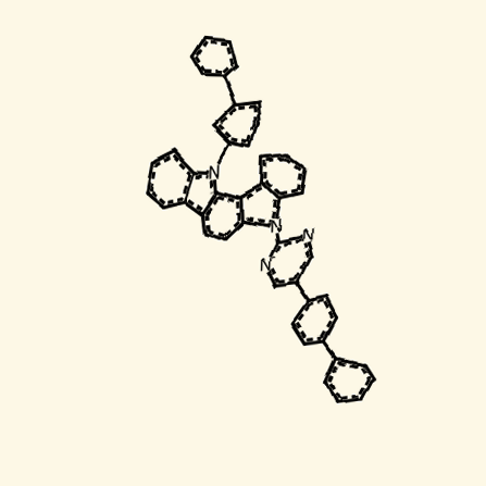 c1ccc(-c2ccc(-c3cnc(-n4c5ccccc5c5c4ccc4c6ccccc6n(-c6cccc(-c7ccccc7)c6)c45)nc3)cc2)cc1